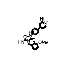 COc1cccc(CN(C(C)=N)C(=O)Nc2ccc(-c3ccnc(N)c3)cc2)c1